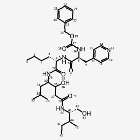 CCCC[C@H](NC(=O)[C@H](Cc1ccncc1)NC(=O)OCc1ccccc1)C(=O)NC(CC(C)C)C(O)CC(=O)N[C@H](CO)C(C)CC